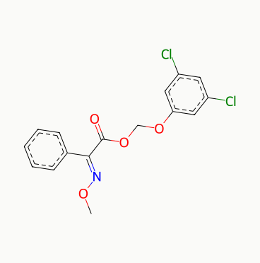 CON=C(C(=O)OCOc1cc(Cl)cc(Cl)c1)c1ccccc1